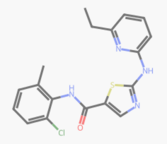 CCc1cccc(Nc2ncc(C(=O)Nc3c(C)cccc3Cl)s2)n1